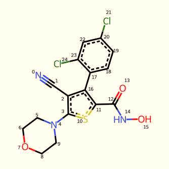 N#Cc1c(N2CCOCC2)sc(C(=O)NO)c1-c1ccc(Cl)cc1Cl